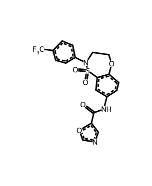 O=C(Nc1ccc2c(c1)S(=O)(=O)N(c1ccc(C(F)(F)F)cc1)CCO2)c1cnco1